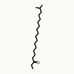 CCC(=O)CCCCCCCCCCCCCCC(C)C